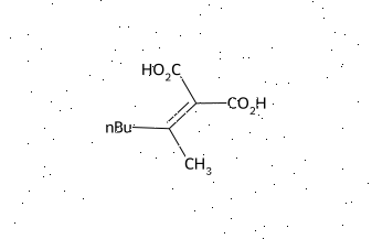 CCCCC(C)=C(C(=O)O)C(=O)O